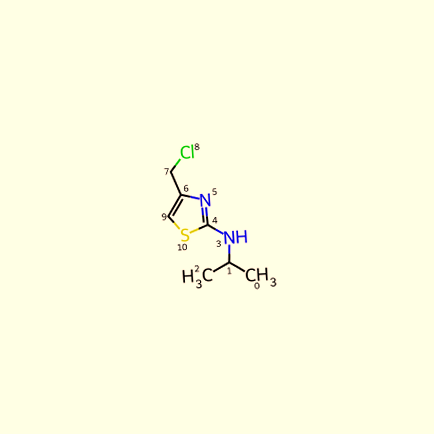 CC(C)Nc1nc(CCl)cs1